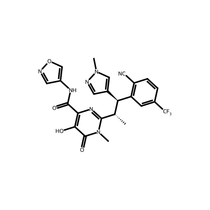 C[C@H](c1nc(C(=O)Nc2cnoc2)c(O)c(=O)n1C)[C@@H](c1cnn(C)c1)c1cc(C(F)(F)F)ccc1C#N